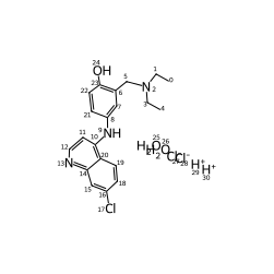 CCN(CC)Cc1cc(Nc2ccnc3cc(Cl)ccc23)ccc1O.O.O.[Cl-].[Cl-].[H+].[H+]